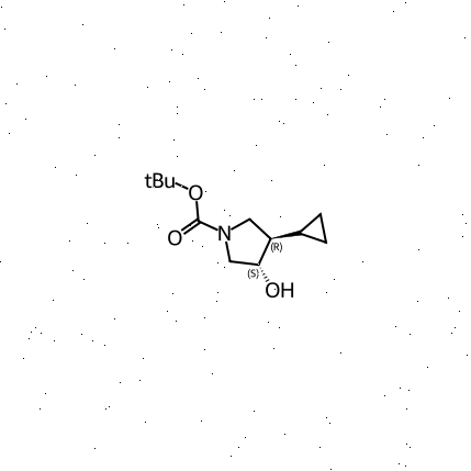 CC(C)(C)OC(=O)N1C[C@@H](O)[C@H](C2CC2)C1